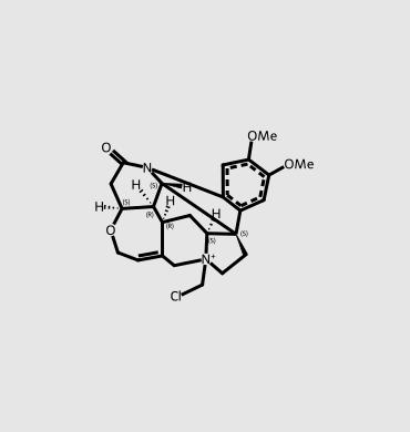 COc1cc2c(cc1OC)[C@@]13CC[N+]4(CCl)CC5=CCO[C@H]6CC(=O)N2[C@H]1[C@H]6[C@H]5C[C@@H]34